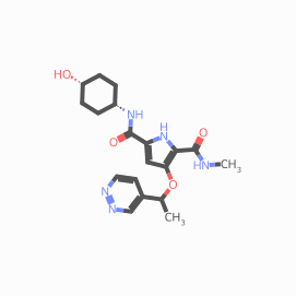 CNC(=O)c1[nH]c(C(=O)N[C@H]2CC[C@@H](O)CC2)cc1OC(C)c1ccnnc1